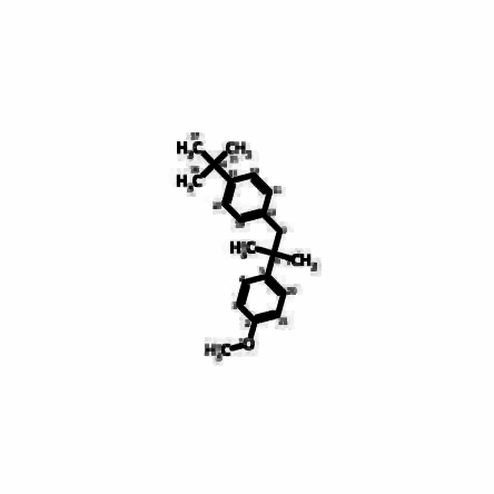 COc1ccc(C(C)(C)Cc2ccc(C(C)(C)C)cc2)cc1